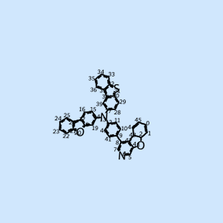 C1=CC2Oc3cncc(-c4ccc(N(c5ccc6c(c5)oc5ccccc56)c5ccc6sc7ccccc7c6c5)cc4)c3C2C=C1